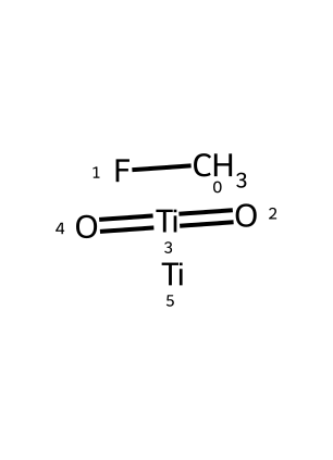 CF.[O]=[Ti]=[O].[Ti]